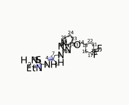 CC/N=C(/N/C=C(\C)CNc1nc2c(OCC3CCC(F)(F)CC3)cccn2n1)SN